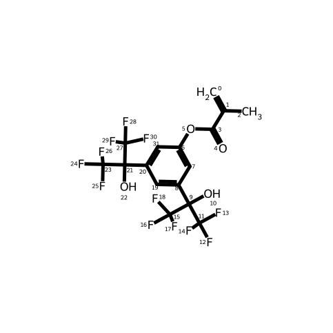 C=C(C)C(=O)Oc1cc(C(O)(C(F)(F)F)C(F)(F)F)cc(C(O)(C(F)(F)F)C(F)(F)F)c1